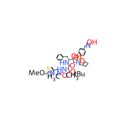 COCc1nc(CN(C)C(=O)N[C@H](C(=O)N[C@@H](Cc2ccccc2)[C@H](O)CN(CC2CCC2)S(=O)(=O)c2ccc(/C=N/O)cc2)[C@H](C)OC(C)(C)C)cs1